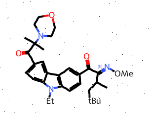 CCn1c2ccc(C(=O)/C(=N/OC)C(C)CC(C)(C)C)cc2c2cc(C(=O)C(C)(C)N3CCOCC3)ccc21